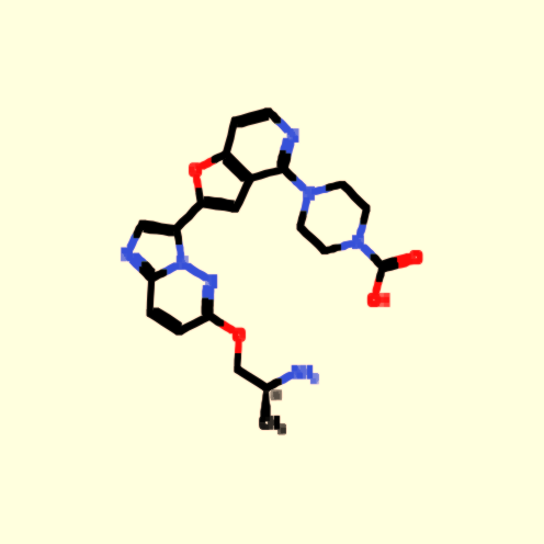 C[C@H](N)COc1ccc2ncc(-c3cc4c(N5CCN(C(=O)O)CC5)nccc4o3)n2n1